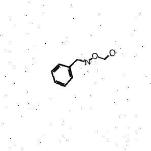 [O]CO[N]Cc1ccccc1